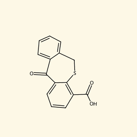 O=C(O)c1cccc2c1SCc1ccccc1C2=O